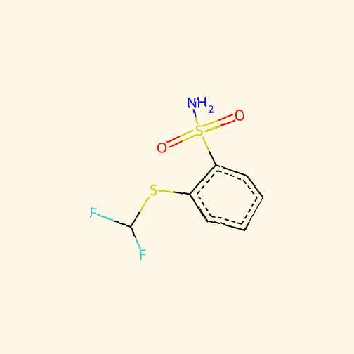 NS(=O)(=O)c1ccccc1SC(F)F